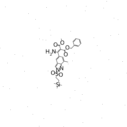 COC(=O)C(C(=O)OCc1ccccc1)=C(N)c1cc(C)c2nn(S(=O)(=O)CC[Si](C)(C)C)cc2c1